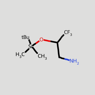 CC(C)(C)[Si](C)(C)OC(CN)C(F)(F)F